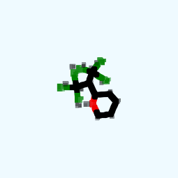 BrC(Br)(Br)C(C1CCCCO1)C(Br)(Br)Br